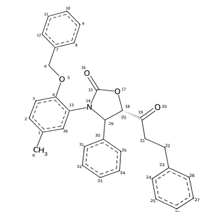 Cc1ccc(OCc2ccccc2)c(N2C(=O)O[C@H](C(=O)CCc3ccccc3)C2c2ccccc2)c1